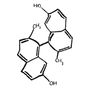 Cc1ccc2ccc(O)cc2c1-c1c(C)ccc2ccc(O)cc12